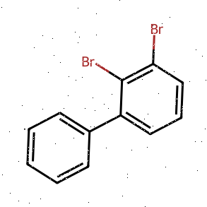 Brc1cccc(-c2c[c]ccc2)c1Br